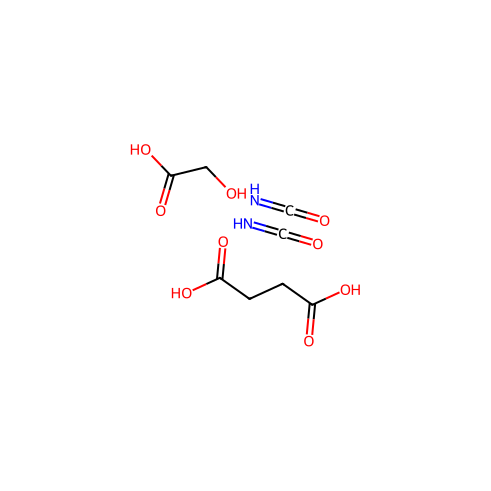 N=C=O.N=C=O.O=C(O)CCC(=O)O.O=C(O)CO